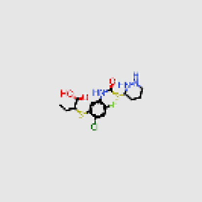 CCC(Sc1cc(NC(=O)SC2CCCNN2)c(F)cc1Cl)C(=O)O